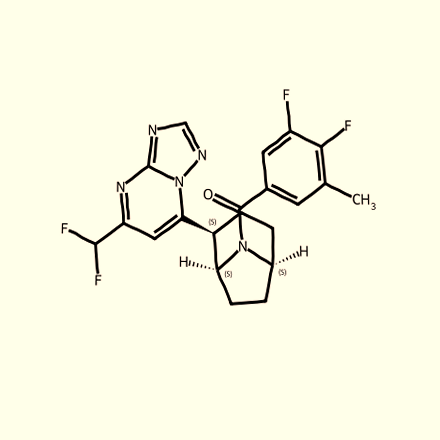 Cc1cc(C(=O)N2[C@H]3CC[C@H](c4cc(C(F)F)nc5ncnn45)[C@@H]2CC3)cc(F)c1F